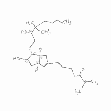 CCCCC(C)(C)[C@@H](O)CC[C@@H]1[C@H]2CC(CCCCC(=O)N(C)C)=C[C@H]2C[C@H]1O